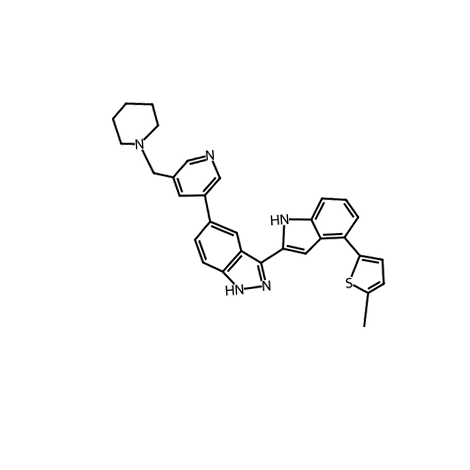 Cc1ccc(-c2cccc3[nH]c(-c4n[nH]c5ccc(-c6cncc(CN7CCCCC7)c6)cc45)cc23)s1